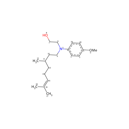 COc1ccc(N(CCO)CCC(C)CCC=C(C)C)cc1